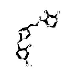 Cc1ccc(Oc2ccc(CCNc3ncnc(Cl)c3Cl)cn2)c(C)c1